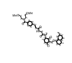 COCCN(CCOC)C(=O)c1ccc(C=CC(=O)NCC(=O)N(C)c2ccc(Cl)c(COc3cccc4ccc(C)nc34)c2Cl)cn1